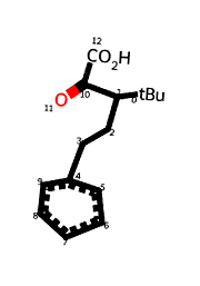 CC(C)(C)C(CCc1ccccc1)C(=O)C(=O)O